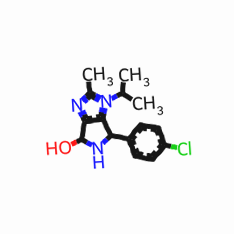 Cc1nc2c(n1C(C)C)C(c1ccc(Cl)cc1)NC2O